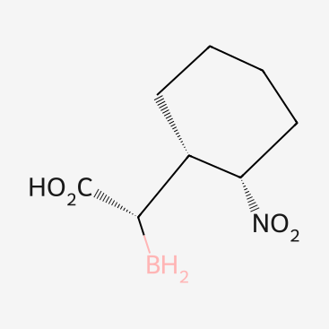 B[C@H](C(=O)O)[C@@H]1CCCC[C@@H]1[N+](=O)[O-]